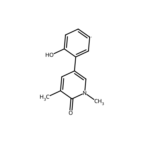 Cc1cc(-c2c[c]ccc2O)cn(C)c1=O